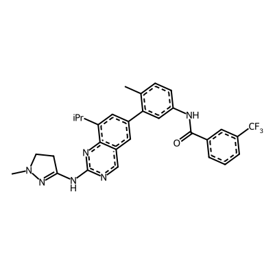 Cc1ccc(NC(=O)c2cccc(C(F)(F)F)c2)cc1-c1cc(C(C)C)c2nc(NC3=NN(C)CC3)ncc2c1